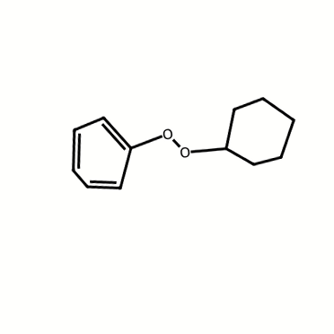 c1ccc(OOC2CCCCC2)cc1